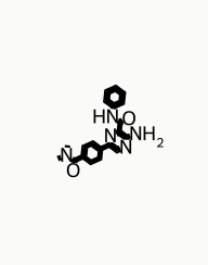 CN(C)C(=O)C1=CC=C(c2cnc(N)c(C(=O)Nc3ccccc3)n2)CC1